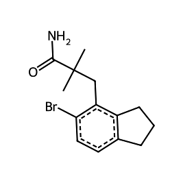 CC(C)(Cc1c(Br)ccc2c1CCC2)C(N)=O